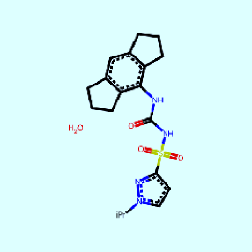 CC(C)n1ccc(S(=O)(=O)NC(=O)Nc2c3c(cc4c2CCC4)CCC3)n1.O